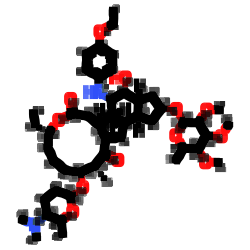 CCOc1ccc(N[C@H]2[C@H](O)[C@@H]3C[C@@H](O[C@@H]4OC(C)[C@H](OC)C(OC)C4OC)C[C@H]3[C@@H]3C=C4C(=O)[C@H](C)[C@@H](O[C@H]5CC[C@H](N(C)C)C(C)O5)CCC[C@H](CC)OC(=O)C[C@H]4[C@@H]32)cc1